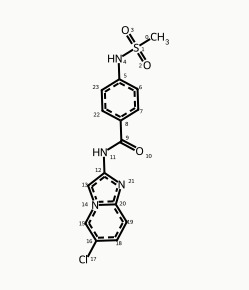 CS(=O)(=O)Nc1ccc(C(=O)Nc2cn3cc(Cl)ccc3n2)cc1